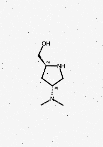 CN(C)[C@H]1CN[C@H](CO)C1